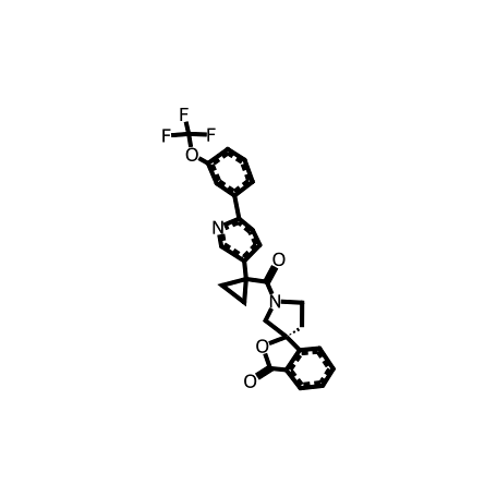 O=C1O[C@]2(CCN(C(=O)C3(c4ccc(-c5cccc(OC(F)(F)F)c5)nc4)CC3)C2)c2ccccc21